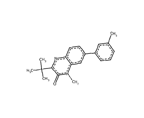 Cc1cccc(-c2ccc3nc(C(C)(C)C)c(=O)n(C)c3c2)c1